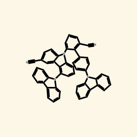 N#Cc1ccc2c(c1)c1c(-n3c4ccccc4c4ccccc43)cccc1n2-c1cccc(C#N)c1-c1ccc(-n2c3ccccc3c3ccccc32)cc1